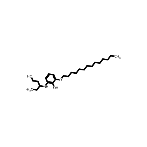 [CH2]CC(CCO)Nc1cccc(OCCCCCCCCCCCCCC)c1O